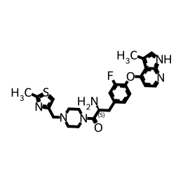 Cc1nc(CN2CCN(C(=O)[C@@H](N)Cc3ccc(Oc4ccnc5[nH]cc(C)c45)c(F)c3)CC2)cs1